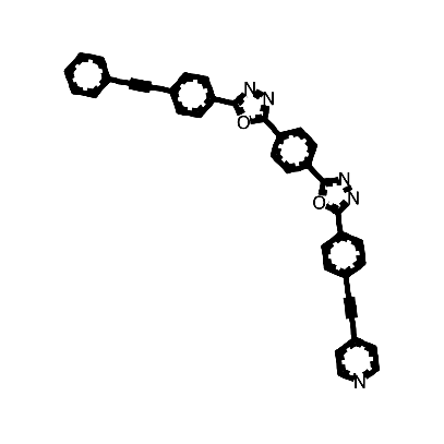 C(#Cc1ccc(-c2nnc(-c3ccc(-c4nnc(-c5ccc(C#Cc6ccncc6)cc5)o4)cc3)o2)cc1)c1ccccc1